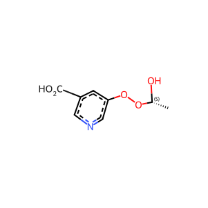 C[C@@H](O)OOc1cncc(C(=O)O)c1